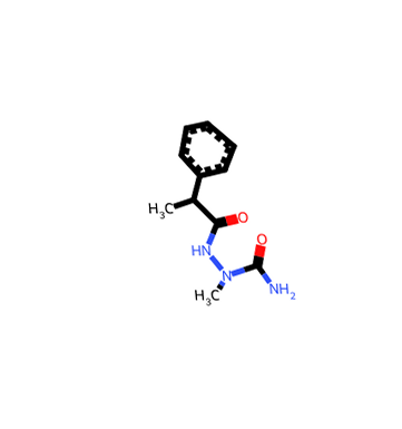 CC(C(=O)NN(C)C(N)=O)c1ccccc1